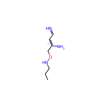 CCCNOC/C(N)=C/C=N